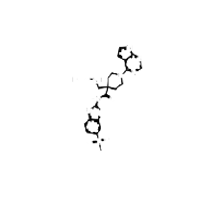 CS(=O)(=O)c1ccc2nc(NC(=O)C3(CNC(=O)O)CCN(c4ncnc5[nH]ccc45)CC3)sc2c1